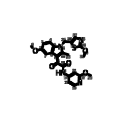 COc1ccc2c(c1)c(C(=O)C(=O)Nc1ccnc(OC)c1)c(C)n2Cc1cnc(OC)s1